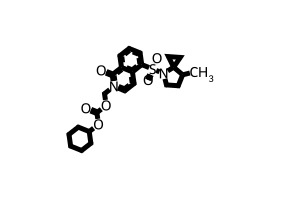 CC1CCN(S(=O)(=O)c2cccc3c(=O)n(COC(=O)OC4CCCCC4)ccc23)C12CC2